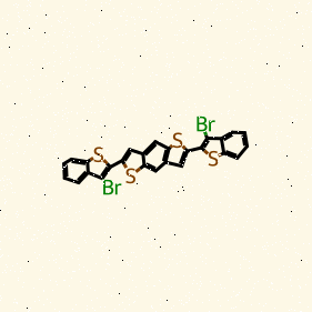 Brc1c(-c2cc3cc4sc(-c5sc6ccccc6c5Br)cc4cc3s2)sc2ccccc12